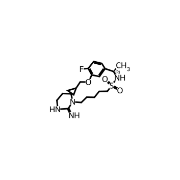 C[C@@H](NS(=O)(=O)CCCCCN1CCCNC1=N)c1ccc(F)c(OCC2CC2)c1